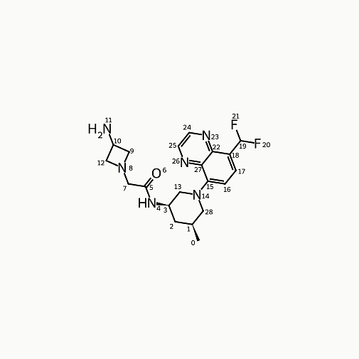 C[C@H]1C[C@@H](NC(=O)CN2CC(N)C2)CN(c2ccc(C(F)F)c3nccnc23)C1